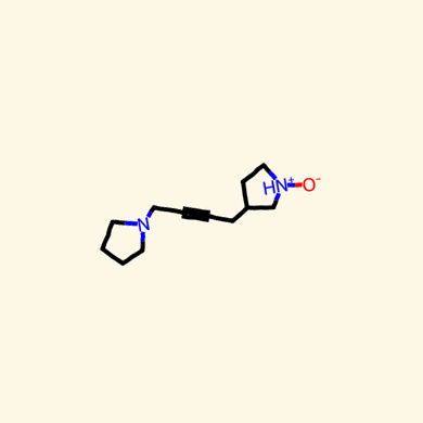 [O-][NH+]1CCC(CC#CCN2CCCC2)C1